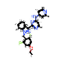 CCOc1cc(F)c(Cn2nc(-c3nc[c]c(Nc4ccncc4)n3)c3ccccc32)c(F)c1